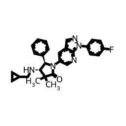 CC1(C)C(=O)N(c2cnc3c(cnn3-c3ccc(F)cc3)c2)[C@H](c2ccccc2)[C@H]1NCC1CC1